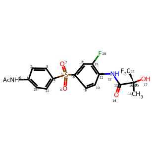 CC(=O)Nc1ccc(S(=O)(=O)c2ccc(NC(=O)[C@@](C)(O)C(F)(F)F)c(F)c2)cc1